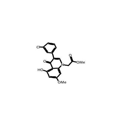 COC(=O)Cn1cc(-c2cccc(Cl)c2)c(=O)c2c(O)cc(OC)cc21